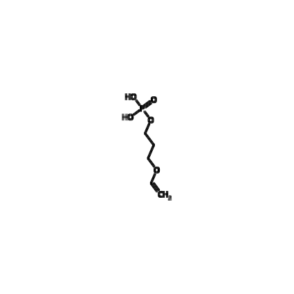 C=COCCCOP(=O)(O)O